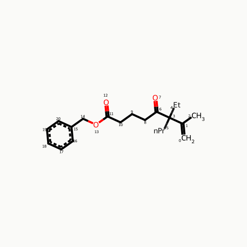 C=C(C)C(CC)(CCC)C(=O)CCCC(=O)OCc1ccccc1